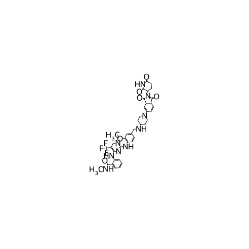 CNC(=O)c1ccccc1Nc1nc(Nc2ccc(CNC3CCN(c4ccc5c(c4)C(=O)N(C4CCC(=O)NC4=O)C5=O)CC3)cc2OC)ncc1C(F)(F)F